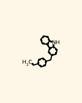 C=Cc1ccc(Cc2ccc3[nH]c4ccccc4c3c2)cc1